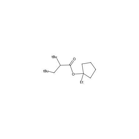 CCC1(OC(=O)C(CC(C)(C)C)C(C)(C)C)CCCC1